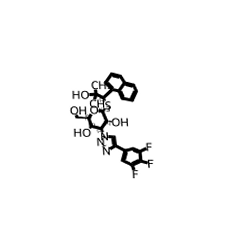 CC(C)(O)[C@@H](S[C@@H]1O[C@H](CO)[C@H](O)[C@H](n2cc(-c3cc(F)c(F)c(F)c3)nn2)[C@H]1O)c1cccc2ccccc12